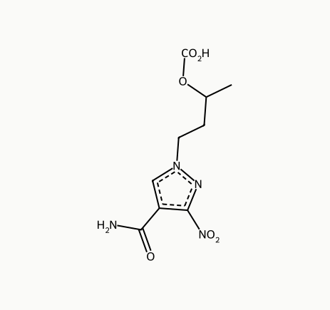 CC(CCn1cc(C(N)=O)c([N+](=O)[O-])n1)OC(=O)O